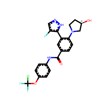 O=C(Nc1ccc(OC(F)(F)Cl)cc1)c1ccc(N2CC[C@@H](O)C2)c(-c2[nH]ncc2F)c1